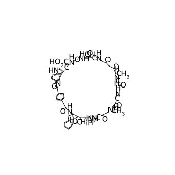 CC(C)[C@@H]1NNCC(=O)CN[C@@H](C)C(=O)CNCC(=O)CN[C@@H](C)C(=O)CC(=O)CNCC(=O)[C@H](C)NCNC(C(=O)O)Cc2c[nH]c3ccc4oc(nc4c23)-c2ccc(cc2)C(=O)N[C@@H](Cc2ccccc2)C(=O)C1=O